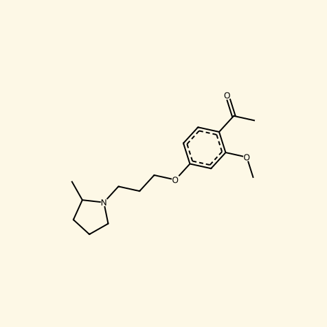 COc1cc(OCCCN2CCCC2C)ccc1C(C)=O